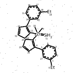 CCc1cccc(C2=[C]([Zr]([CH3])([CH3])(=[SiH2])[C]3=C(c4cccc(CC)c4)C=CC3)CC=C2)c1